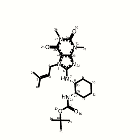 CC(C)=CCn1c(N[C@@H]2CCCC[C@@H]2NC(=O)OC(C)(C)C)nc2c1c(=O)n(C)c(=O)n2C